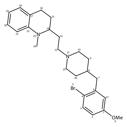 COc1ccc(Br)c(CC2CCN(CCC3CCc4ccccc4N3C)CC2)c1